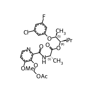 COc1ccnc(C(=O)N[C@@H](C)C(=O)O[C@H](C(C)C)[C@H](C)Oc2cc(F)cc(Cl)c2)c1OCOC(C)=O